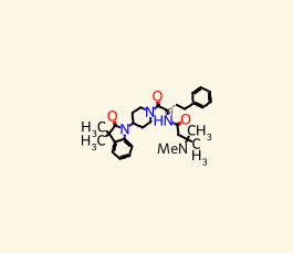 CNC(C)(C)CC(=O)N[C@@H](CCc1ccccc1)C(=O)N1CCC(N2C(=O)C(C)(C)c3ccccc32)CC1